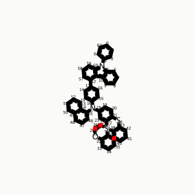 c1ccc(-n2c3ccccc3c3c(-c4ccc(N(c5ccc6c(c5)[Si]5(c7ccccc7Oc7ccccc75)c5ccccc5S6)c5cccc6ccccc56)cc4)cccc32)cc1